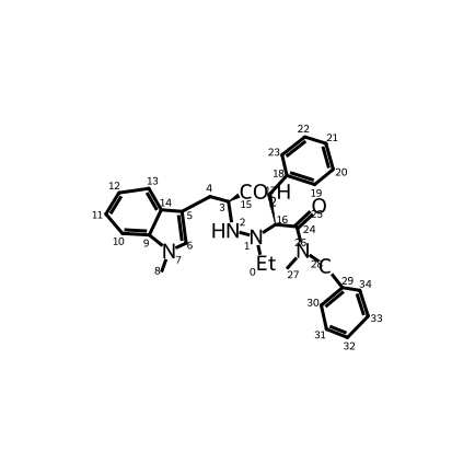 CCN(N[C@@H](Cc1cn(C)c2ccccc12)C(=O)O)[C@@H](Cc1ccccc1)C(=O)N(C)Cc1ccccc1